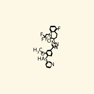 COc1cc(-c2cn(C3CCc4c(F)cccc4N(CC(F)(F)F)C3=O)nn2)ccc1[AsH]c1cccnc1